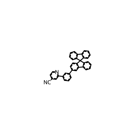 N#Cc1ccnc(-c2cccc(-c3ccc4c(c3)-c3ccccc3C43c4ccccc4-c4ccccc43)c2)c1